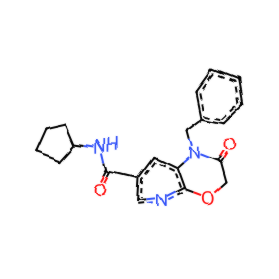 O=C(NC1CCCC1)c1cnc2c(c1)N(Cc1ccccc1)C(=O)CO2